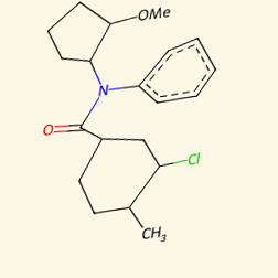 COC1CCCC1N(C(=O)C1CCC(C)C(Cl)C1)c1ccccc1